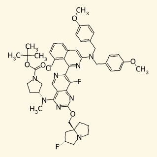 COc1ccc(CN(Cc2ccc(OC)cc2)c2cc3cccc(Cl)c3c(-c3ncc4c(N(C)[C@@H]5CCN(C(=O)OC(C)(C)C)C5)nc(OC[C@@]56CCCN5C[C@H](F)C6)nc4c3F)n2)cc1